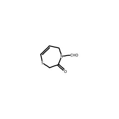 O=CN1CC=CSCC1=O